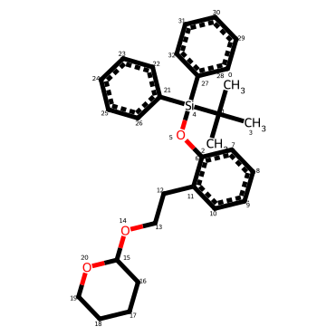 CC(C)(C)[Si](Oc1cc[c]cc1CCOC1CCCCO1)(c1ccccc1)c1ccccc1